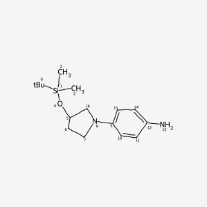 CC(C)(C)[Si](C)(C)OC1CCN(c2ccc(N)cc2)C1